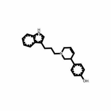 Oc1ccc(C2C=CCN(CCCc3c[nH]c4ccccc34)C2)cc1